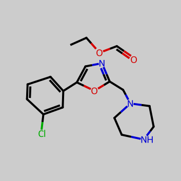 CCOC=O.Clc1cccc(-c2cnc(CN3CCNCC3)o2)c1